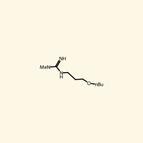 CCCCOCCCNC(=N)NC